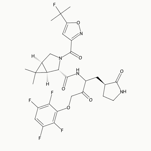 CC(C)(F)c1cc(C(=O)N2C[C@H]3[C@@H]([C@H]2C(=O)NC(C[C@@H]2CCNC2=O)C(=O)COc2c(F)c(F)cc(F)c2F)C3(C)C)no1